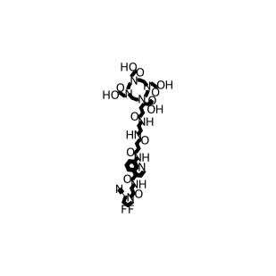 N#C[C@H]1CC(F)(F)CN1C(=O)CNC(=O)c1ccnc2c(NC(=O)CCC(=O)NCCNC(=O)CCC(C(=O)O)N3CCN(CC(=O)O)CCN(CC(=O)O)CCN(CC(=O)O)CC3)cccc12